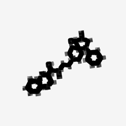 O=C(NCCN1CCC2(CC1)C(=O)NCN2c1ccccc1)c1cnc2ccccc2n1